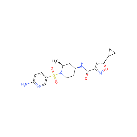 C[C@H]1C[C@@H](NC(=O)c2cc(C3CC3)on2)CCN1S(=O)(=O)c1ccc(N)nc1